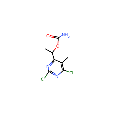 Cc1c(Cl)nc(Cl)nc1C(C)OC(N)=O